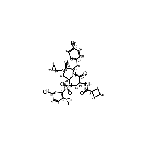 COc1ccc(Cl)cc1S(=O)(=O)N1CC(NC(=O)C2CCC2)C(=O)N2C(Cc3ccc(Br)cc3)C(=O)N(C3CC3)CC21